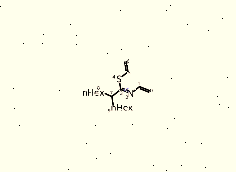 C=C/N=C(\SC=C)C(CCCCCC)CCCCCC